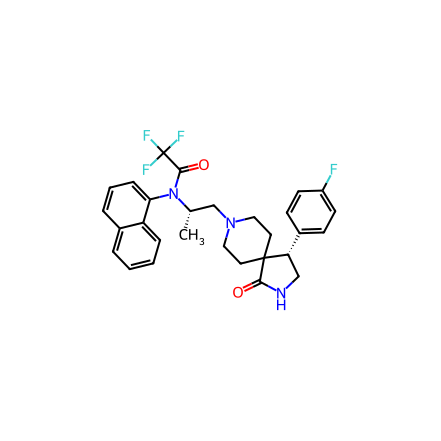 C[C@@H](CN1CCC2(CC1)C(=O)NC[C@H]2c1ccc(F)cc1)N(C(=O)C(F)(F)F)c1cccc2ccccc12